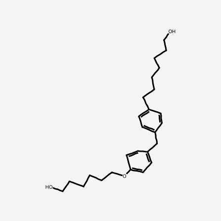 OCCCCCCCc1ccc(Cc2ccc(OCCCCCCO)cc2)cc1